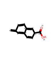 C=c1ccc2c(c1)C=CC(C(=O)O)C=2